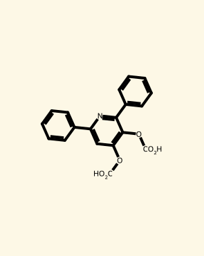 O=C(O)Oc1cc(-c2ccccc2)nc(-c2ccccc2)c1OC(=O)O